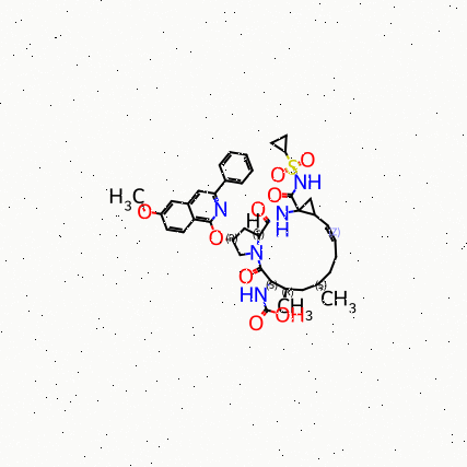 COc1ccc2c(O[C@@H]3C[C@H]4C(=O)NC5(C(=O)NS(=O)(=O)C6CC6)CC5/C=C\CC[C@H](C)C[C@@H](C)[C@H](NC(=O)O)C(=O)N4C3)nc(-c3ccccc3)cc2c1